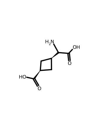 NC(C(=O)O)[C@H]1C[C@@H](C(=O)O)C1